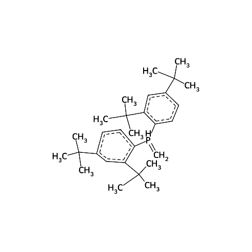 C=[PH](c1ccc(C(C)(C)C)cc1C(C)(C)C)c1ccc(C(C)(C)C)cc1C(C)(C)C